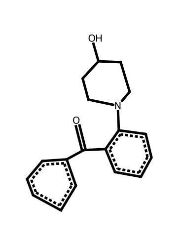 O=C(c1ccccc1)c1ccccc1N1CCC(O)CC1